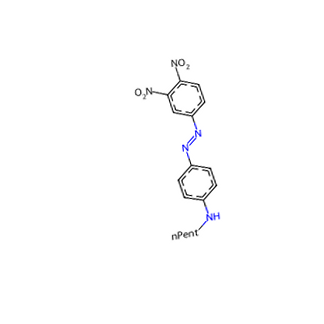 CCCCCNc1ccc(N=Nc2ccc([N+](=O)[O-])c([N+](=O)[O-])c2)cc1